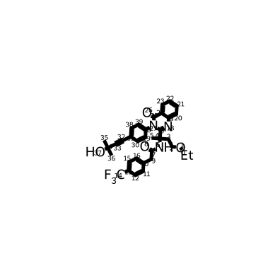 CCOCCC(C)(NC(=O)Cc1ccc(C(F)(F)F)cc1)c1nc2ccccc2c(=O)n1-c1ccc(C#CC(C)(C)O)cc1